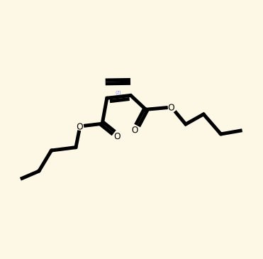 C=C.CCCCOC(=O)/C=C\C(=O)OCCCC